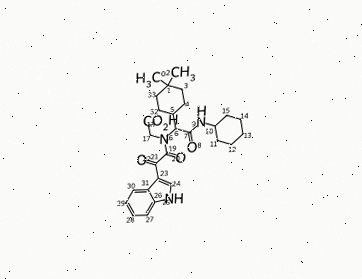 CC1(C)CCC(C(C(=O)NC2CCCCC2)N(CC(=O)O)C(=O)C(=O)c2c[nH]c3ccccc23)CC1